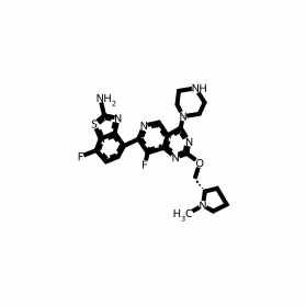 CN1CCC[C@H]1COc1nc(N2CCNCC2)c2cnc(-c3ccc(F)c4sc(N)nc34)c(F)c2n1